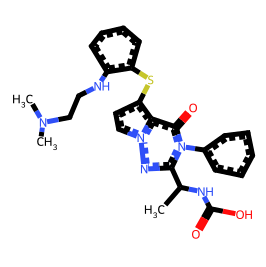 CC(NC(=O)O)c1nn2ccc(Sc3ccccc3NCCN(C)C)c2c(=O)n1-c1ccccc1